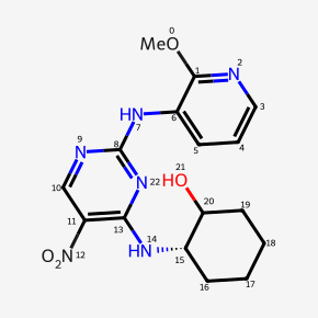 COc1ncccc1Nc1ncc([N+](=O)[O-])c(N[C@H]2CCCCC2O)n1